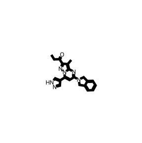 CCC(=O)c1nn2c(-c3cn[nH]c3)cc(N3Cc4ccccc4C3)nc2c1C